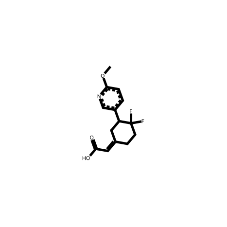 COc1ccc(C2CC(=CC(=O)O)CCC2(F)F)cn1